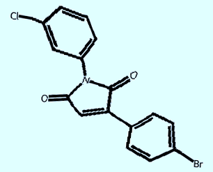 O=C1C=C(c2ccc(Br)cc2)C(=O)N1c1cccc(Cl)c1